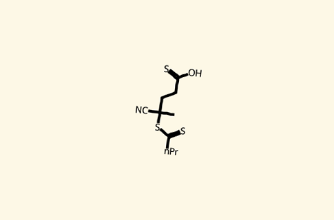 CCCC(=S)SC(C)(C#N)CCC(O)=S